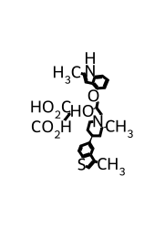 Cc1cc2c(OC[C@@H](O)CN3CC[C@H](c4ccc5scc(C)c5c4)C[C@H]3C)cccc2[nH]1.O=C(O)CCC(=O)O